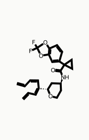 C=C/C=C\C(=C/C=C)[C@@H]1C[C@@H](NC(=O)C2(c3ccc4c(c3)OC(F)(F)O4)CC2)CCO1